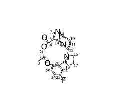 C[C@H]1COC(=O)c2cnn3ccc(nc23)N2CCCC2c2cc(F)ccc2O1